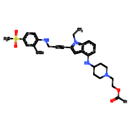 CCC(=O)OCCN1CCC(Nc2cccc3c2cc(C#CCNc2ccc(S(C)(=O)=O)cc2OC)n3CC(F)(F)F)CC1